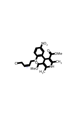 COC(=O)C1=C(C)NC(C)=C(C(=O)OC)C1c1cc([N+](=O)[O-])ccc1OC/C=C\CCl